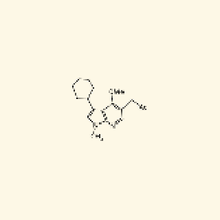 COc1c(CC(C)=O)cnc2c1c(C1CCCCC1)cn2C